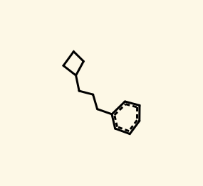 c1ccc(CCCC2CCC2)cc1